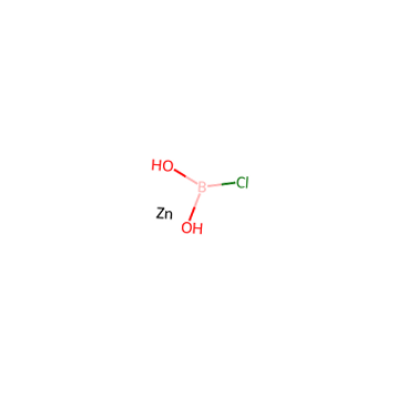 OB(O)Cl.[Zn]